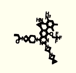 C=CC(=O)N1CC2(CCN(c3nc(N4CC(N5CC6(CC6)C5)C4)nc4c(OCC(F)(F)F)c(-c5c(C)c(C)cc(N)c5C=N)c(C5CC5)cc34)CC2)C1